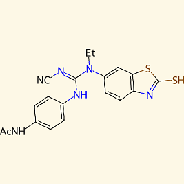 CCN(/C(=N/C#N)Nc1ccc(NC(C)=O)cc1)c1ccc2nc(S)sc2c1